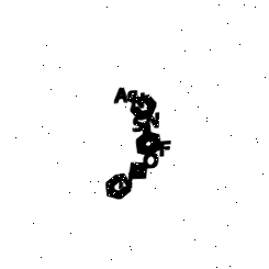 CC(=O)N1CCc2nc(-c3ccc(OC4CC(N5CCCCC5)C4)c(F)c3)sc2C1